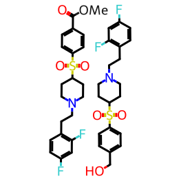 COC(=O)c1ccc(S(=O)(=O)C2CCN(CCc3ccc(F)cc3F)CC2)cc1.O=S(=O)(c1ccc(CO)cc1)C1CCN(CCc2ccc(F)cc2F)CC1